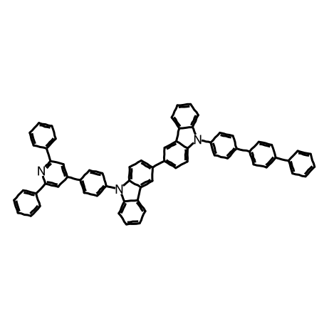 c1ccc(-c2ccc(-c3ccc(-n4c5ccccc5c5cc(-c6ccc7c(c6)c6ccccc6n7-c6ccc(-c7cc(-c8ccccc8)nc(-c8ccccc8)c7)cc6)ccc54)cc3)cc2)cc1